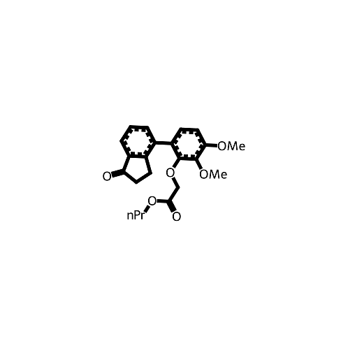 CCCOC(=O)COc1c(-c2cccc3c2CCC3=O)ccc(OC)c1OC